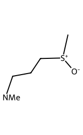 CNCCC[S+](C)[O-]